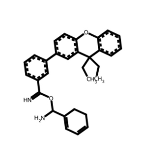 CCC1(CC)c2ccccc2Oc2ccc(-c3cccc(C(=N)OC(N)C4=CC=CCC4)c3)cc21